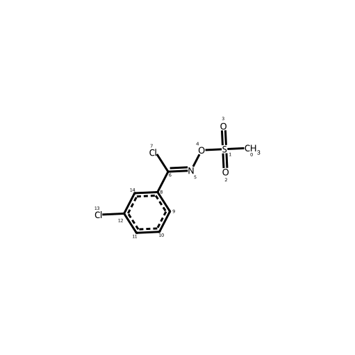 CS(=O)(=O)ON=C(Cl)c1cccc(Cl)c1